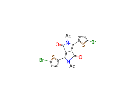 CC(=O)N1C(=O)C2=C(c3ccc(Br)s3)N(C(C)=O)C(=O)C2=C1c1ccc(Br)s1